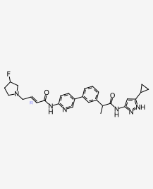 CC(C(=O)Nc1cc(C2CC2)[nH]n1)c1cccc(-c2ccc(NC(=O)/C=C/CN3CCC(F)C3)nc2)c1